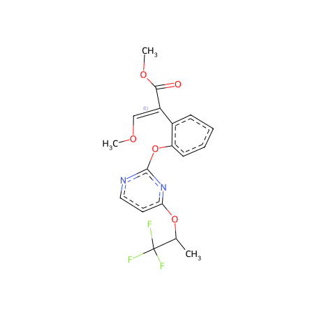 CO/C=C(/C(=O)OC)c1ccccc1Oc1nccc(OC(C)C(F)(F)F)n1